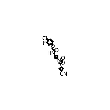 N#C[C@H]1C[C@@H](C2CN(C34CC(NC(=O)COc5ccc(Cl)c(F)c5)(C3)C4)C(=O)O2)C1